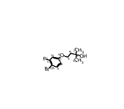 CC(C)(O)CCOc1ccc(Br)c(F)c1